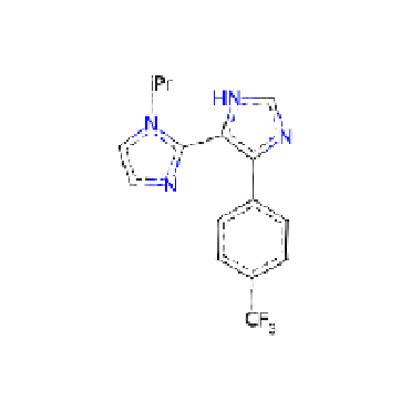 CC(C)n1ccnc1-c1[nH]cnc1-c1ccc(C(F)(F)F)cc1